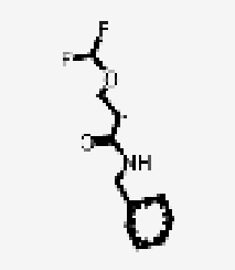 O=C([CH]COC(F)F)NCc1ccccc1